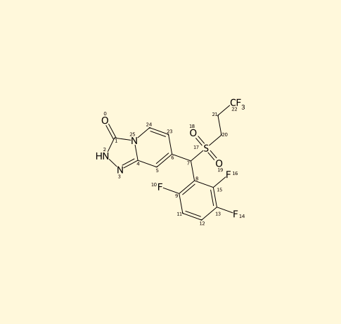 O=c1[nH]nc2cc(C(c3c(F)ccc(F)c3F)S(=O)(=O)CCC(F)(F)F)ccn12